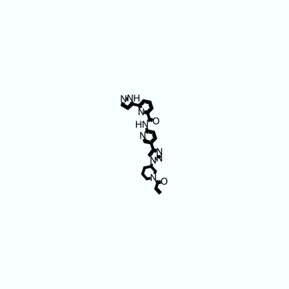 C=CC(=O)N1CCCC(n2cc(-c3ccc(NC(=O)c4cccc(-c5ccn[nH]5)n4)nc3)nn2)C1